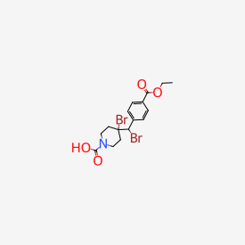 CCOC(=O)c1ccc(C(Br)C2(Br)CCN(C(=O)O)CC2)cc1